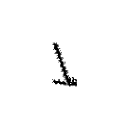 CCCCC=CN(CC1CO1)C(=O)CCCCCCCCCCCCCCCCC